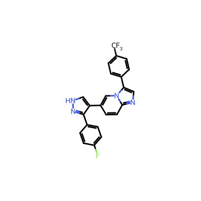 Fc1ccc(-c2n[nH]cc2-c2ccc3ncc(-c4ccc(C(F)(F)F)cc4)n3c2)cc1